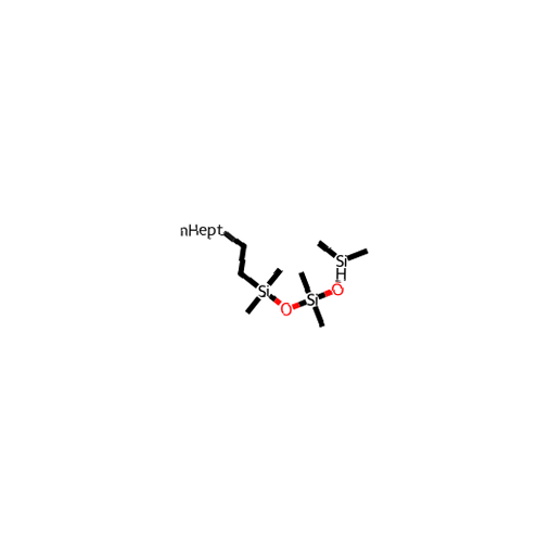 CCCCCCCCC[Si](C)(C)O[Si](C)(C)O[SiH](C)C